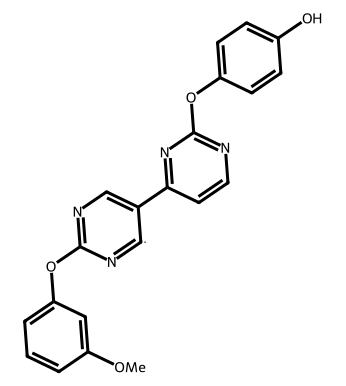 COc1cccc(Oc2n[c]c(-c3ccnc(Oc4ccc(O)cc4)n3)cn2)c1